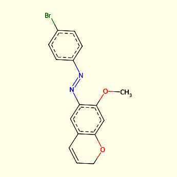 COc1cc2c(cc1/N=N/c1ccc(Br)cc1)C=CCO2